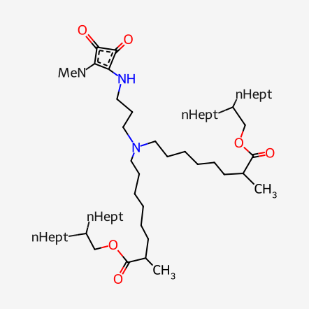 CCCCCCCC(CCCCCCC)COC(=O)C(C)CCCCCCN(CCCCCCC(C)C(=O)OCC(CCCCCCC)CCCCCCC)CCCNc1c(NC)c(=O)c1=O